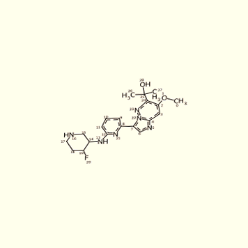 COc1cc2ncc(-c3cccc(NC4CNCCC4F)n3)n2nc1C(C)(C)O